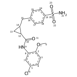 COc1ccc(Cl)cc1NC(=O)C1CC1Cc1ccc(S(N)(=O)=O)cc1